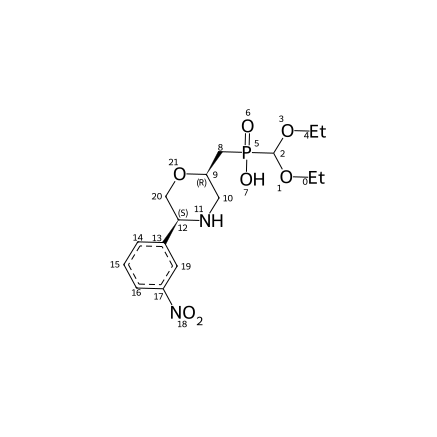 CCOC(OCC)P(=O)(O)C[C@H]1CN[C@@H](c2cccc([N+](=O)[O-])c2)CO1